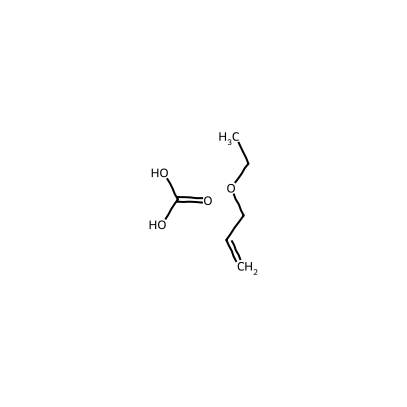 C=CCOCC.O=C(O)O